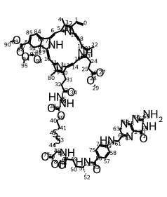 C=CC1=C(C)c2cc3[nH]c(cc4nc(cc5[nH]c(cc1n2)c(C)c5CCC(=O)OC)C(CCC(=O)NNC(=O)OCCSSC[C@H](NC(=O)CC[C@@H](C)NC(=O)c1ccc(NCc2cnc5nc(N)[nH]c(=O)c5n2)cc1)C(=O)O)=C4C)[C@@]1(C)C3=CC=C(C(=O)OC)[C@H]1C(=O)OC